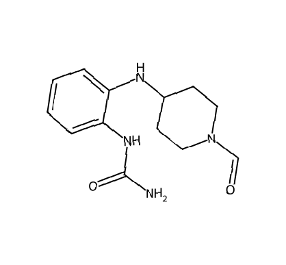 NC(=O)Nc1ccccc1NC1CCN(C=O)CC1